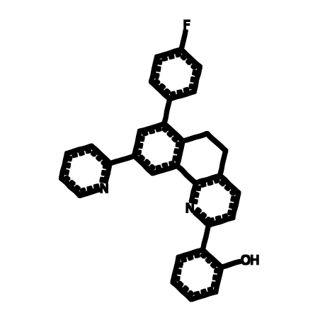 Oc1ccccc1-c1ccc2c(n1)-c1cc(-c3ccccn3)cc(-c3ccc(F)cc3)c1CC2